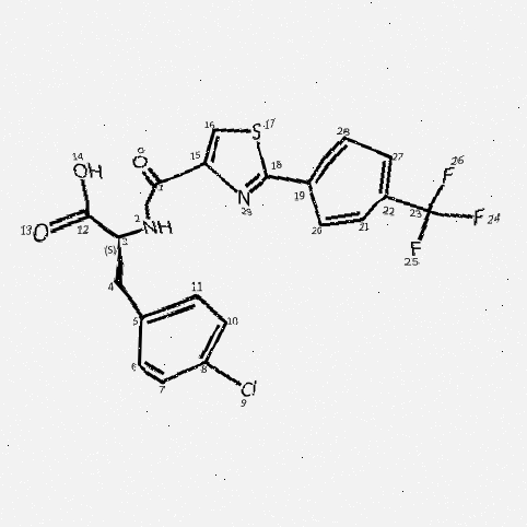 O=C(N[C@@H](Cc1ccc(Cl)cc1)C(=O)O)c1csc(-c2ccc(C(F)(F)F)cc2)n1